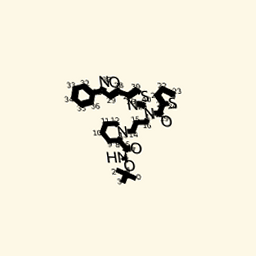 CC(C)(C)ONC(=O)C1CCCCN1CCCN(C(=O)c1cccs1)c1nc(-c2cc(-c3ccccc3)no2)cs1